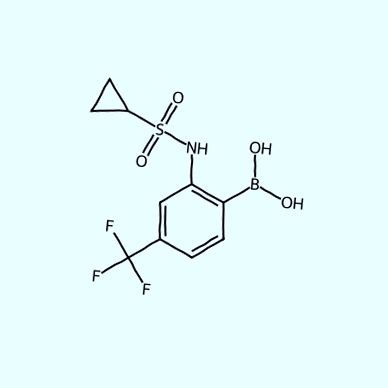 O=S(=O)(Nc1cc(C(F)(F)F)ccc1B(O)O)C1CC1